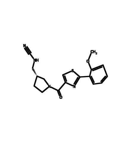 COc1ccccc1-c1nc(C(=O)N2CC[C@H](CNC#N)C2)cs1